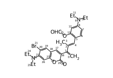 C=C(/C(C)=C/c1ccc(N(CC)CC)cc1OC=O)c1cc2cc(Br)c(N(CC)CC)cc2oc1=O